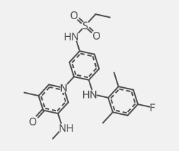 CCS(=O)(=O)Nc1ccc(Nc2c(C)cc(F)cc2C)c(-n2cc(C)c(=O)c(NC)c2)c1